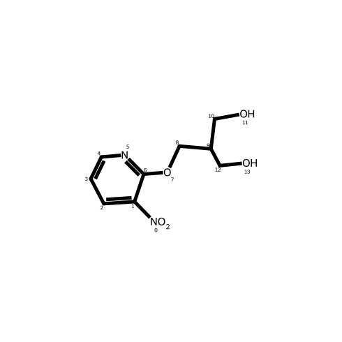 O=[N+]([O-])c1cccnc1OCC(CO)CO